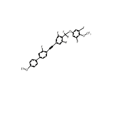 CCOc1ccc(-c2ccc(C#Cc3cc(F)c(C(F)(F)Oc4cc(F)c(OC(F)(F)F)c(F)c4)c(F)c3)c(F)c2)cc1